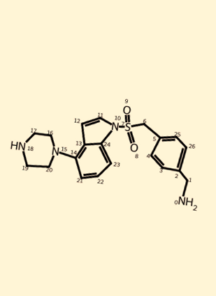 NCc1ccc(CS(=O)(=O)n2ccc3c(N4CCNCC4)cccc32)cc1